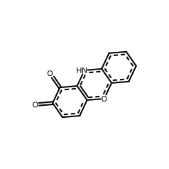 O=c1ccc2oc3ccccc3[nH]c=2c1=O